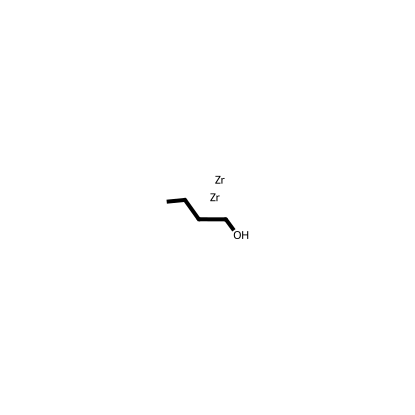 CCCCO.[Zr].[Zr]